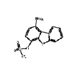 CC(=O)Nc1ccc(OS(=O)(=O)C(F)(F)F)c2sc3ccccc3c12